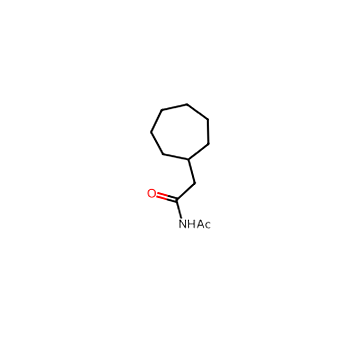 CC(=O)NC(=O)CC1CCCCCC1